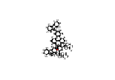 CC(C)(C)c1ccc2c(c1)C(C)(C)c1ccc(-c3ccc(-n4c5ccccc5c5ccccc54)cc3)c(-c3ccccc3Nc3ccc4sc5ccccc5c4c3)c1-2